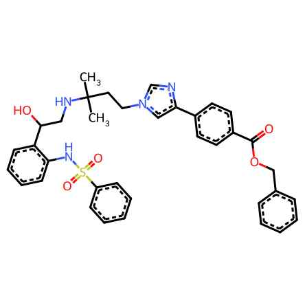 CC(C)(CCn1cnc(-c2ccc(C(=O)OCc3ccccc3)cc2)c1)NCC(O)c1ccccc1NS(=O)(=O)c1ccccc1